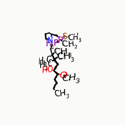 C=P(P)(CC1CCCN1CCC(C)(C)C(C)(C)CC(O)C(CCCC)OC)SC